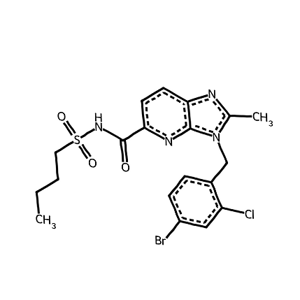 CCCCS(=O)(=O)NC(=O)c1ccc2nc(C)n(Cc3ccc(Br)cc3Cl)c2n1